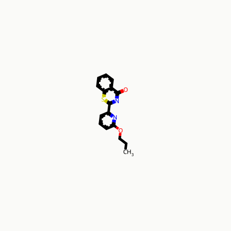 CCCOc1cccc(-c2nc(=O)c3ccccc3s2)n1